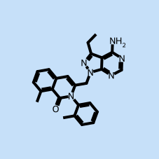 CCc1nn(Cc2cc3cccc(C)c3c(=O)n2-c2ccccc2C)c2ncnc(N)c12